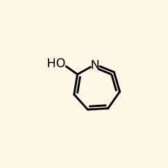 OC1=CC=CC=C=N1